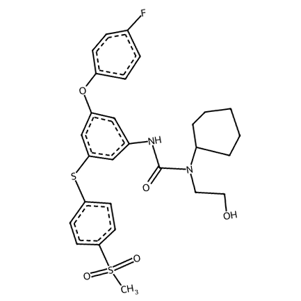 CS(=O)(=O)c1ccc(Sc2cc(NC(=O)N(CCO)C3CCCCC3)cc(Oc3ccc(F)cc3)c2)cc1